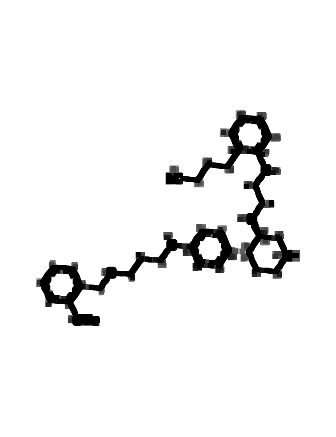 COc1ccccc1COCCCOc1ccc([C@H]2CCNC[C@@H]2OCCOc2ccccc2CCCC#N)cc1